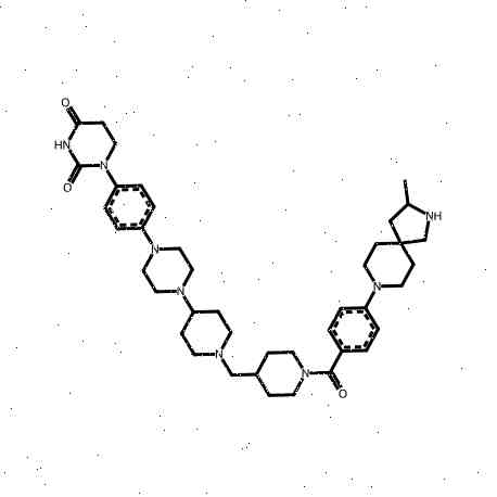 CC1CC2(CCN(c3ccc(C(=O)N4CCC(CN5CCC(N6CCN(c7ccc(N8CCC(=O)NC8=O)cc7)CC6)CC5)CC4)cc3)CC2)CN1